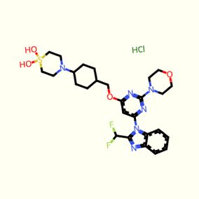 Cl.OS1(O)CCN(C2CCC(COc3cc(-n4c(C(F)F)nc5ccccc54)nc(N4CCOCC4)n3)CC2)CC1